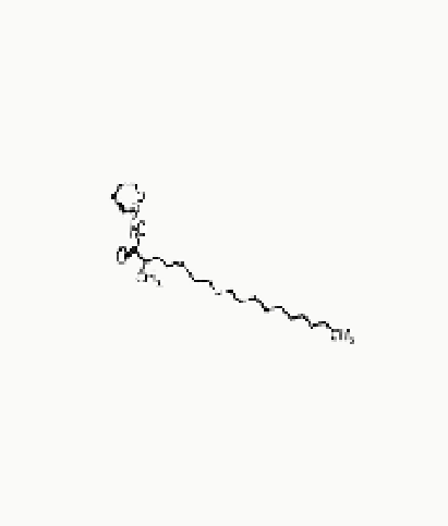 CCCCCCCCCCCCCCCCC(C)C(=O)O[SiH]1CCCCO1